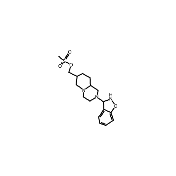 CS(=O)(=O)OCC1CCC2CN(C3NOc4ccccc43)CCN2C1